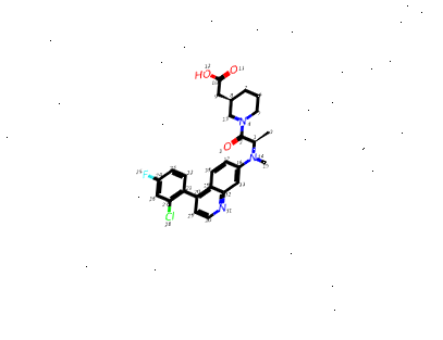 C[C@H](C(=O)N1CCC[C@H](CC(=O)O)C1)N(C)c1ccc2c(-c3ccc(F)cc3Cl)ccnc2c1